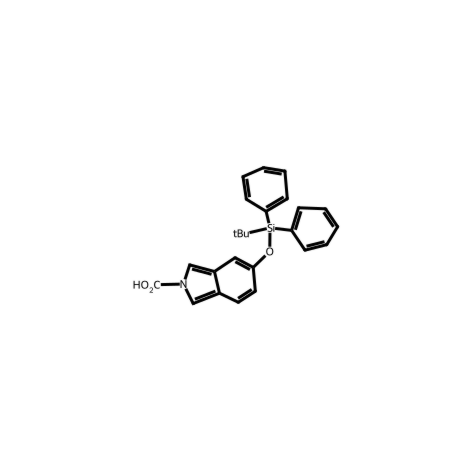 CC(C)(C)[Si](Oc1ccc2cn(C(=O)O)cc2c1)(c1ccccc1)c1ccccc1